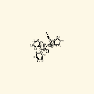 N#Cc1c(NC(=O)C(c2ccccc2)c2ccccc2)sc2c1CCC2